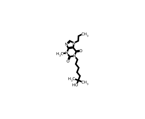 CCCn1cnc2c1c(=O)n(CCCCCC(C)(C)O)c(=O)n2C